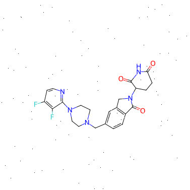 O=C1CCC(N2Cc3cc(CN4CCN(c5nccc(F)c5F)CC4)ccc3C2=O)C(=O)N1